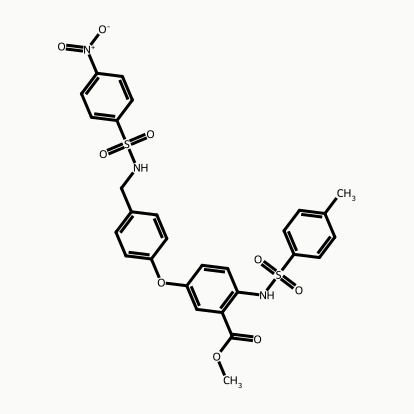 COC(=O)c1cc(Oc2ccc(CNS(=O)(=O)c3ccc([N+](=O)[O-])cc3)cc2)ccc1NS(=O)(=O)c1ccc(C)cc1